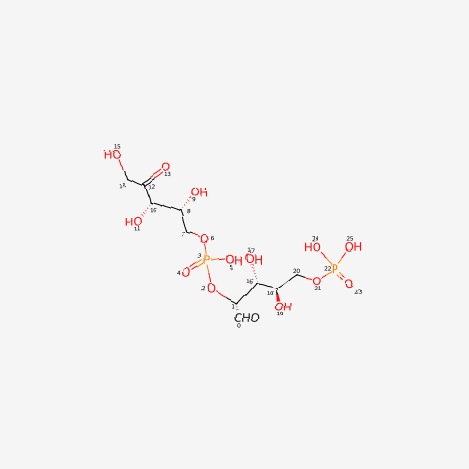 O=C[C@H](OP(=O)(O)OC[C@@H](O)[C@H](O)C(=O)CO)[C@H](O)[C@H](O)COP(=O)(O)O